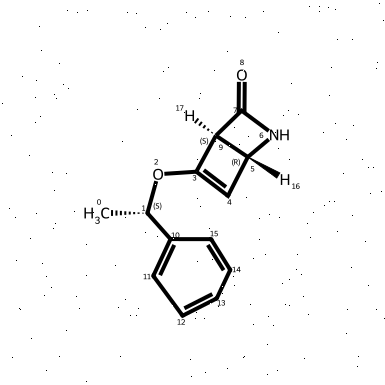 C[C@H](OC1=C[C@H]2NC(=O)[C@H]12)c1ccccc1